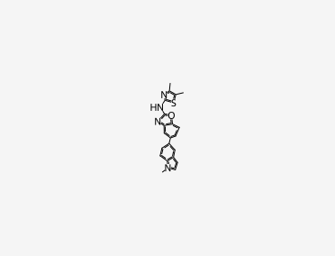 Cc1nc(Nc2nc3cc(-c4ccc5c(ccn5C)c4)ccc3o2)sc1C